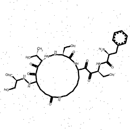 C[C@@H](O)[C@@H]1NN[C@@H](CO)C(=O)NC(C(=O)C(=O)[C@H](CO)NC(=O)[C@@H](N)Cc2ccccc2)CCCCNC(=O)CCC(NN[C@H](C=O)CO)C(=O)C1=O